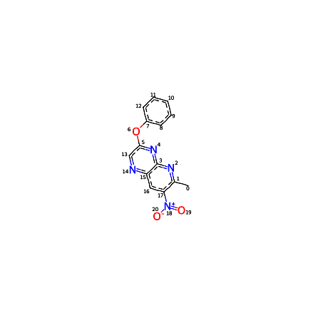 Cc1nc2nc(Oc3ccccc3)cnc2cc1[N+](=O)[O-]